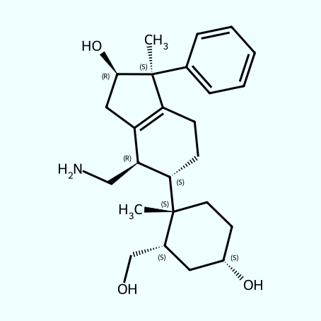 C[C@@]1([C@H]2CCC3=C(C[C@@H](O)[C@@]3(C)c3ccccc3)[C@@H]2CN)CC[C@H](O)C[C@@H]1CO